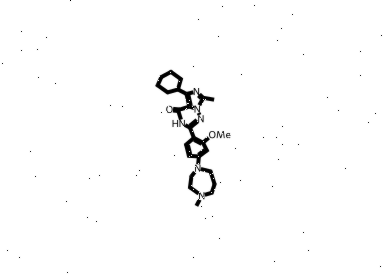 COc1cc(N2CCCN(C)CC2)ccc1-c1nn2c(C)nc(C3CCCCC3)c2c(=O)[nH]1